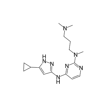 CN(C)CCCN(C)c1nccc(Nc2cc(C3CC3)[nH]n2)n1